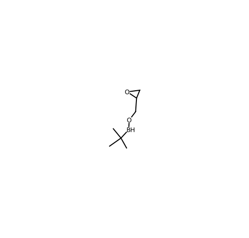 CC(C)(C)BOCC1CO1